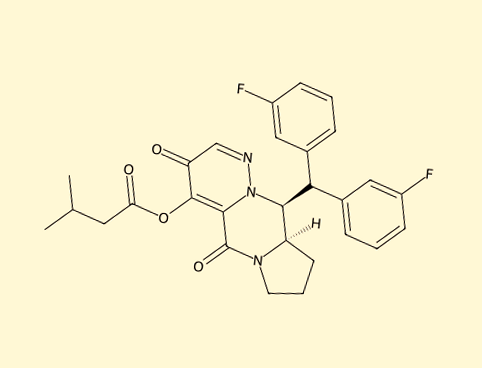 CC(C)CC(=O)Oc1c2n(ncc1=O)[C@@H](C(c1cccc(F)c1)c1cccc(F)c1)[C@H]1CCCN1C2=O